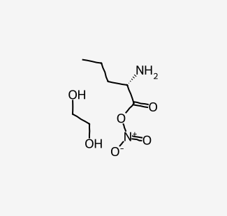 CCC[C@H](N)C(=O)O[N+](=O)[O-].OCCO